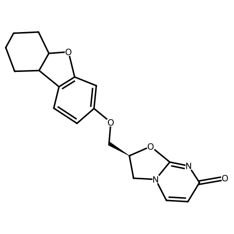 O=c1ccn2c(n1)O[C@H](COc1ccc3c(c1)OC1CCCCC31)C2